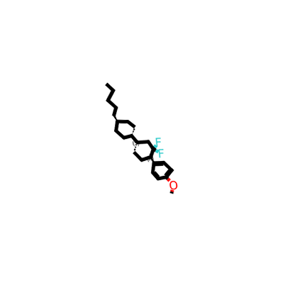 CCCCC[C@H]1CC[C@H]([C@H]2CC[C@H](c3ccc(OC)cc3)C(F)(F)C2)CC1